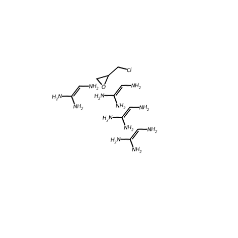 ClCC1CO1.NC=C(N)N.NC=C(N)N.NC=C(N)N.NC=C(N)N